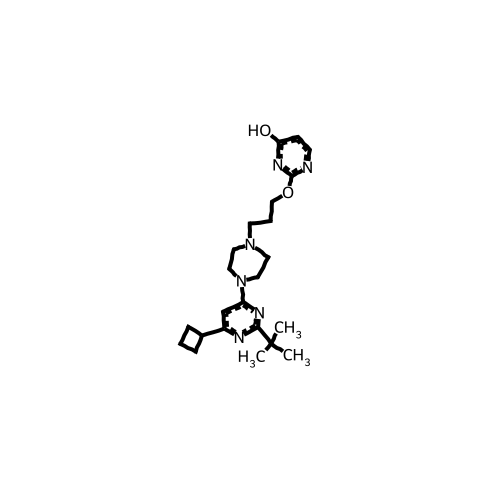 CC(C)(C)c1nc(C2CCC2)cc(N2CCN(CCCOc3nccc(O)n3)CC2)n1